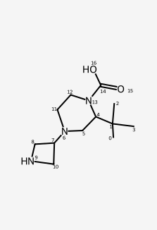 CC(C)(C)C1CN(C2CNC2)CCN1C(=O)O